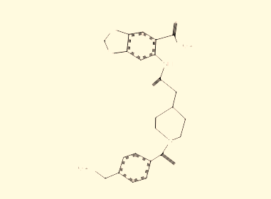 COCc1ccc(C(=O)N2CCC(CC(=O)Nc3cc4c(cc3C(=O)OC)OCO4)CC2)cc1